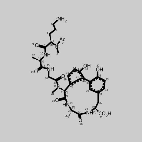 CC(=O)N(C)[C@H](CCCN)C(=O)N[C@H](C)C(=O)NCC(=O)N(C)[C@@H]1C(=O)N[C@@H](C)C(=O)N[C@H](C(=O)O)Cc2ccc(O)c(c2)-c2cc1ccc2O